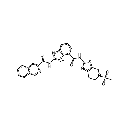 CS(=O)(=O)N1CCc2nc(NC(=O)c3cccc4nc(NC(=O)c5cc6ccccc6cn5)[nH]c34)sc2C1